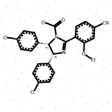 CCOc1cc(C#N)ccc1C1=N[C@H](c2ccc(Cl)cc2)[C@H](c2ccc(Cl)cc2)N1C(=O)Cl